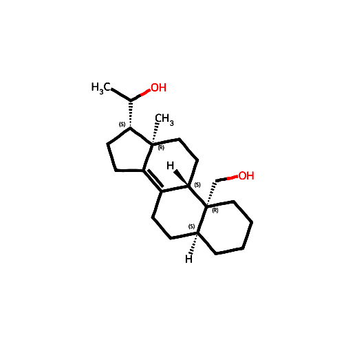 CC(O)[C@H]1CCC2=C3CC[C@@H]4CCCC[C@]4(CO)[C@H]3CC[C@@]21C